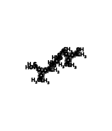 CCN(CCO)c1ccc(C(c2ccc(N(C)C)cc2)c2ccc(N(CC)CCOC(=O)Nc3cccc(NC(=O)OCCN(CC)c4ccc(C(c5ccc(N(C)C)cc5)c5ccc(N(CC)CCO)cc5)cc4)c3)cc2)cc1